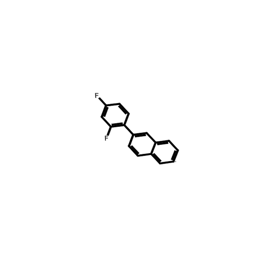 Fc1ccc(-c2ccc3c[c]ccc3c2)c(F)c1